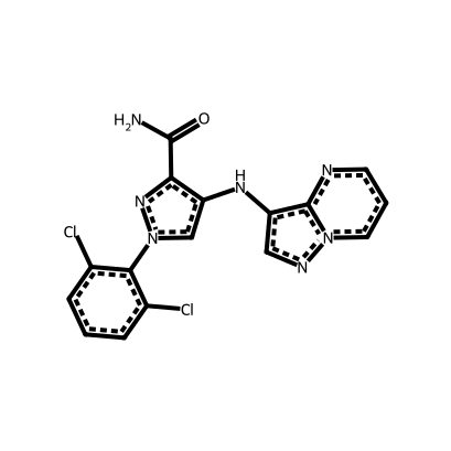 NC(=O)c1nn(-c2c(Cl)cccc2Cl)cc1Nc1cnn2cccnc12